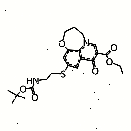 CCOC(=O)c1cn2c3c(cc(SCCNC(=O)OC(C)(C)C)cc3c1=O)OCCC2